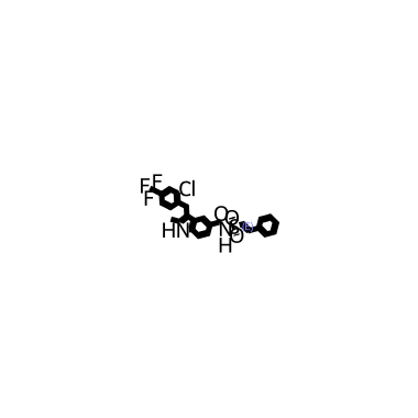 Cc1[nH]c2ccc(C(=O)NS(=O)(=O)/C=C/c3ccccc3)cc2c1Cc1ccc(C(F)(F)F)cc1Cl